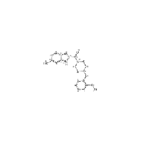 CCOc1ccccc1OC1CCN(C(=O)c2cc3ccc(O)cc3[nH]2)CC1